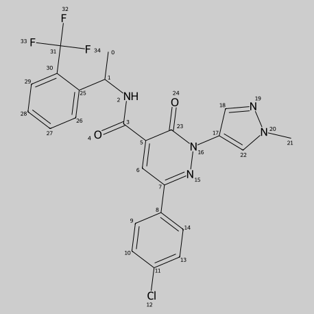 CC(NC(=O)c1cc(-c2ccc(Cl)cc2)nn(-c2cnn(C)c2)c1=O)c1ccccc1C(F)(F)F